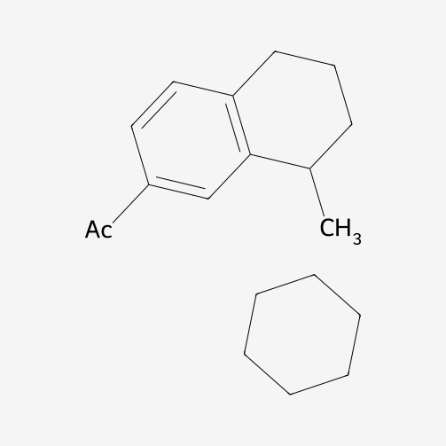 C1CCCCC1.CC(=O)c1ccc2c(c1)C(C)CCC2